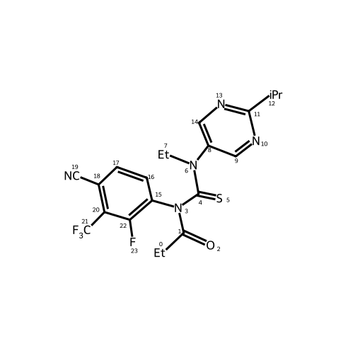 CCC(=O)N(C(=S)N(CC)c1cnc(C(C)C)nc1)c1ccc(C#N)c(C(F)(F)F)c1F